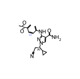 C=C(/C=C\C(=C)S(C)(=O)=O)Nc1nn([C@H](CC#N)C2CC2)cc1C(N)=O